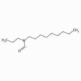 CCCCCCCCCN([C]=O)CCC